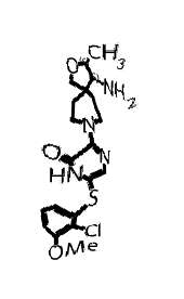 COc1cccc(Sc2cnc(N3CCC4(CC3)CO[C@@H](C)[C@H]4N)c(=O)[nH]2)c1Cl